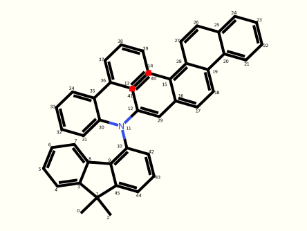 CC1(C)c2ccccc2-c2c(N(c3ccc4c(ccc5c6ccccc6ccc45)c3)c3ccccc3-c3ccccc3)cccc21